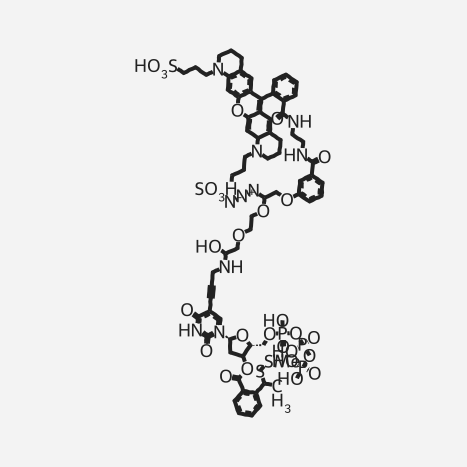 CSSC(C)c1ccccc1C(=O)OC1C[C@H](n2cc(C#CCNC(O)COCCOC(COc3cccc(C(=O)NCCNC(=O)c4ccccc4C4=C5C=C6CCCN(CCCS(=O)(=O)O)C6C=C5Oc5cc6c(cc54)CCCN6CCCS(=O)(=O)O)c3)N=[N+]=[N-])c(=O)[nH]c2=O)O[C@@H]1COP(=O)(O)OP(=O)(O)OP(=O)(O)O